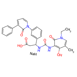 CCn1cc(C)c(O)c(NC(=O)NC(CC(=O)O)c2cccc(-n3cccc(-c4ccccc4)c3=O)c2)c1=O.[NaH]